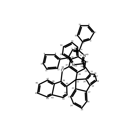 c1ccc(-c2cc(-c3ccccc3)nc(-c3cccc4c3C3(c5ccccc5-4)c4ccc5ccccc5c4Oc4c3ccc3ccccc43)n2)cc1